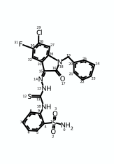 NS(=O)(=O)c1ccccc1NC(=S)NN=C1C(=O)N(Cc2ccccc2)c2cc(Cl)c(F)cc21